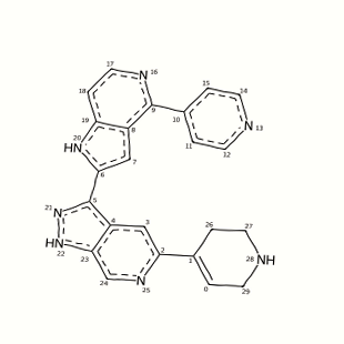 C1=C(c2cc3c(-c4cc5c(-c6ccncc6)nccc5[nH]4)n[nH]c3cn2)CCNC1